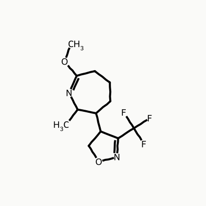 COC1=NC(C)C(C2CON=C2C(F)(F)F)CCC1